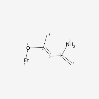 C=C(N)C=C(C)OCC